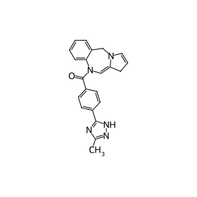 Cc1n[nH]c(-c2ccc(C(=O)N3C=C4CC=CN4Cc4ccccc43)cc2)n1